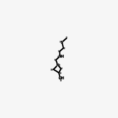 CSCCNCN1CC(O)C1